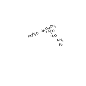 Cl.O.O.O.O.O.O.[AlH3].[Fe]